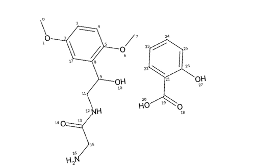 COc1ccc(OC)c(C(O)CNC(=O)CN)c1.O=C(O)c1ccccc1O